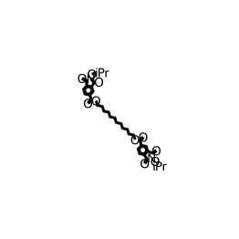 CC(C)ON1C(=O)c2ccc(C(=O)OCCCCCCCCCCCCOC(=O)c3ccc4c(c3)C(=O)N(OC(C)C)C4=O)cc2C1=O